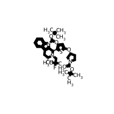 C[C@@H]1Cc2c(n(C(=O)OC(C)(C)C)c3ccccc23)[C@@H](c2ccc(O[C@@H]3CCN(C(=O)OC(C)(C)C)C3)s2)N1CC(C)(C)F